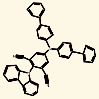 N#Cc1cc(N(c2ccc(-c3ccccc3)cc2)c2ccc(-c3ccccc3)cc2)cc(C#N)c1-n1c2ccccc2c2ccccc21